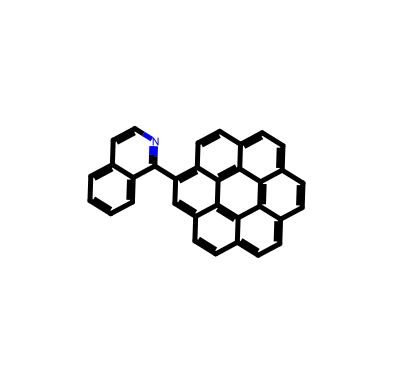 c1ccc2c(-c3cc4ccc5ccc6ccc7ccc8ccc3c3c8c7c6c5c43)nccc2c1